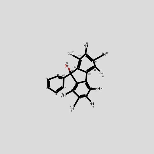 [2H]c1c([2H])c([2H])c2c(c1[2H])-c1c([2H])c([2H])c([2H])c([2H])c1C2(Br)c1ccccc1